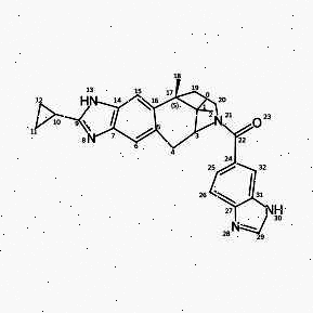 CC1(C)C2Cc3cc4nc(C5CC5)[nH]c4cc3[C@]1(C)CCN2C(=O)c1ccc2nc[nH]c2c1